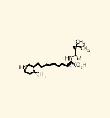 CN1CCNCC1CCCCCCC/C=C(\NC(=O)C1CC1(C)C)C(=O)O